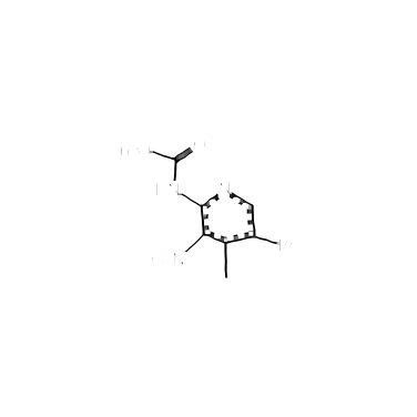 CCCCC(=O)Nc1ncc(Br)c(C)c1[N+](=O)[O-]